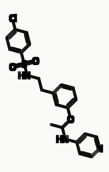 CC(Nc1ccncc1)Oc1cccc(CCNS(=O)(=O)c2ccc(Cl)cc2)c1